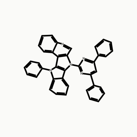 c1ccc(-c2cc(-c3ccccc3)nc(-n3c4cnc5ccccc5c4c4c3c3ccccc3n4-c3ccccc3)n2)cc1